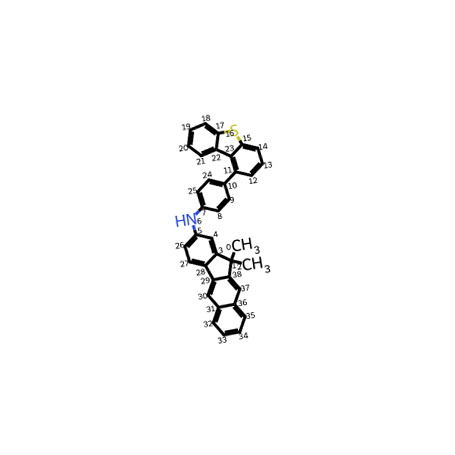 CC1(C)c2cc(Nc3ccc(-c4cccc5sc6ccccc6c45)cc3)ccc2-c2cc3ccccc3cc21